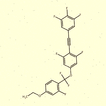 CCOc1ccc(C(F)(F)Oc2cc(F)c(C#Cc3cc(F)c(F)c(F)c3)c(F)c2)c(F)c1